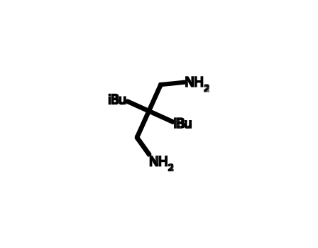 CCC(C)C(CN)(CN)C(C)CC